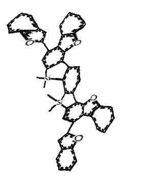 C[Si]1(C)c2cc(-c3cc4ccccc4o3)c3c(oc4ccccc43)c2-c2ccc3c(c21)[Si](C)(C)c1cc(-c2cc4ccccc4o2)c2c(oc4ccccc42)c1-3